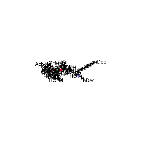 CCCCCCCCCCCCC/C=C/[C@@H](O)[C@H](CO[C@@H]1OC(CO)[C@@H](O[C@@H]2OC(CO)[C@H](O)[C@H](O[C@@H]3OC(CO[C@]4(C(=O)O)CC(O)[C@@H](NC(C)=O)C([C@H](O)[C@H](O)CO)O4)[C@@H](O[C@H]4OC(C)[C@@H](O)C(O)[C@@H]4O)[C@H](O[C@@H]4OC(CO)[C@H](O)[C@H](O)C4O)C3NC(C)=O)C2O)[C@H](O)C1O)NC(=O)CCCCCCCCCCCCCCCCCCCCC